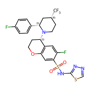 O=S(=O)(Nc1nncs1)c1cc2c(cc1F)[C@@H](N1CC[C@@H](C(F)(F)F)C[C@H]1c1ccc(F)cc1)CCO2